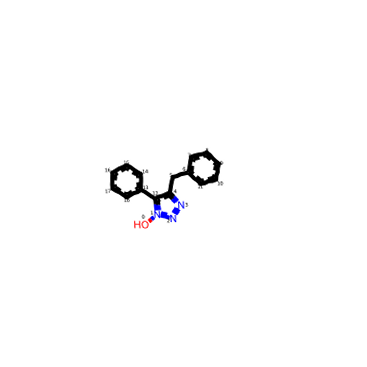 On1nnc(Cc2ccccc2)c1-c1ccccc1